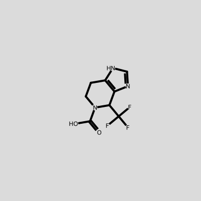 O=C(O)N1CCc2[nH]cnc2C1C(F)(F)F